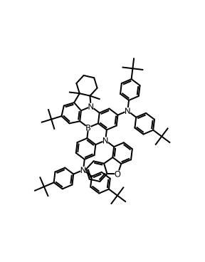 CC(C)(C)c1ccc(N(c2ccc(C(C)(C)C)cc2)c2ccc3c(c2)N(c2cccc4oc5ccccc5c24)c2cc(N(c4ccc(C(C)(C)C)cc4)c4ccc(C(C)(C)C)cc4)cc4c2B3c2cc(C(C)(C)C)cc3c2N4C2(C)CCCCC32C)cc1